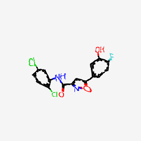 O=C(Nc1cc(Cl)ccc1Cl)c1cc(-c2ccc(F)c(O)c2)on1